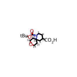 CC(C)(C)OC(=O)N1CCC(C(=O)O)CC12CCOCC2